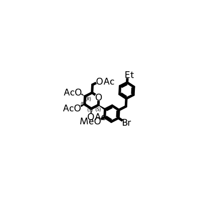 CCc1ccc(Cc2cc([C@@H]3OC(COC(C)=O)[C@@H](OC(C)=O)[C@H](OC(C)=O)[C@H]3OC(C)=O)c(OC)cc2Br)cc1